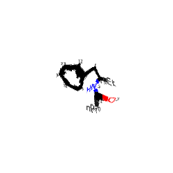 CCCC(=O)NC(CC)Cc1ccccc1